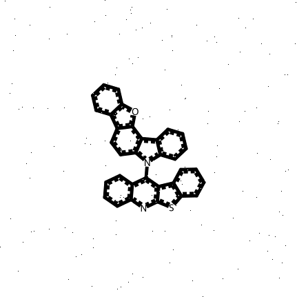 c1ccc2c(-n3c4ccccc4c4c5oc6ccccc6c5ccc43)c3c(nc2c1)sc1ccccc13